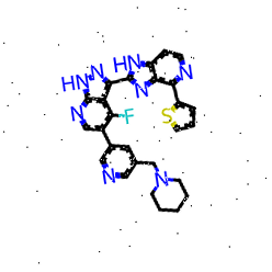 Fc1c(-c2cncc(CN3CCCCC3)c2)cnc2[nH]nc(-c3nc4c(-c5cccs5)nccc4[nH]3)c12